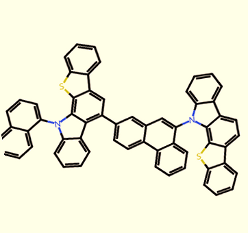 c1ccc2c(-n3c4ccccc4c4c(-c5ccc6c(c5)cc(-n5c7ccccc7c7ccc8c9ccccc9sc8c75)c5ccccc56)cc5c6ccccc6sc5c43)cccc2c1